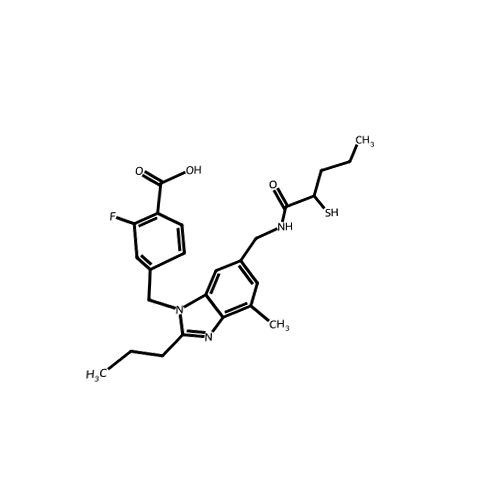 CCCc1nc2c(C)cc(CNC(=O)C(S)CCC)cc2n1Cc1ccc(C(=O)O)c(F)c1